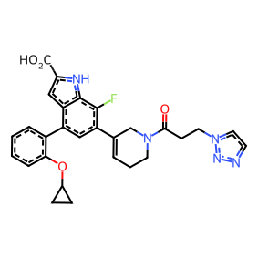 O=C(O)c1cc2c(-c3ccccc3OC3CC3)cc(C3=CCCN(C(=O)CCn4ccnn4)C3)c(F)c2[nH]1